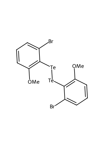 COc1cccc(Br)c1[Te][Te]c1c(Br)cccc1OC